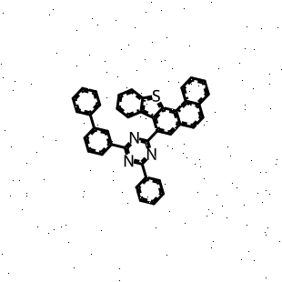 c1ccc(-c2cccc(-c3nc(-c4ccccc4)nc(-c4cc5ccc6ccccc6c5c5sc6ccccc6c45)n3)c2)cc1